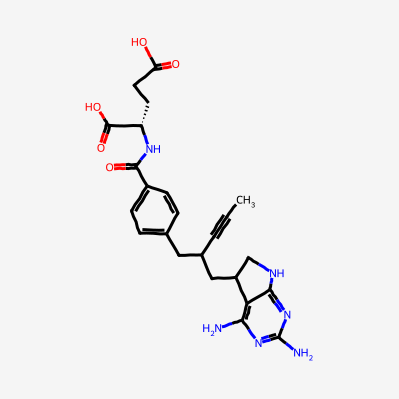 CC#CC(Cc1ccc(C(=O)N[C@@H](CCC(=O)O)C(=O)O)cc1)CC1CNc2nc(N)nc(N)c21